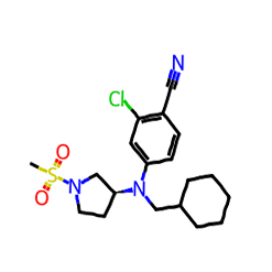 CS(=O)(=O)N1CC[C@H](N(CC2CCCCC2)c2ccc(C#N)c(Cl)c2)C1